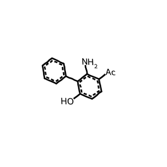 CC(=O)c1ccc(O)c(-c2ccccc2)c1N